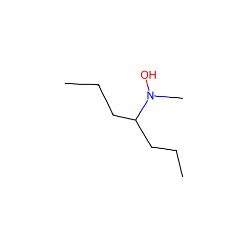 CCCC(CCC)N(C)O